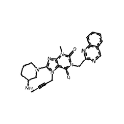 CC#CCn1c(N2CCCC(N)C2)nc2c1c(=O)n(Cc1ncc3ccccc3n1)c(=O)n2C